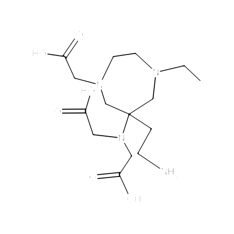 CCN1CCN(CC(=O)O)CC(CCN)(N(CC(=O)O)CC(=O)O)C1